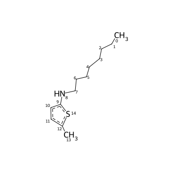 CCCCCCCCNc1ccc(C)s1